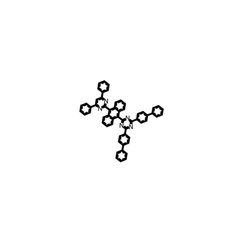 c1ccc(-c2ccc(-c3nc(-c4ccc(-c5ccccc5)cc4)nc(-c4c5ccccc5c(-c5nc(-c6ccccc6)cc(-c6ccccc6)n5)c5ccccc45)n3)cc2)cc1